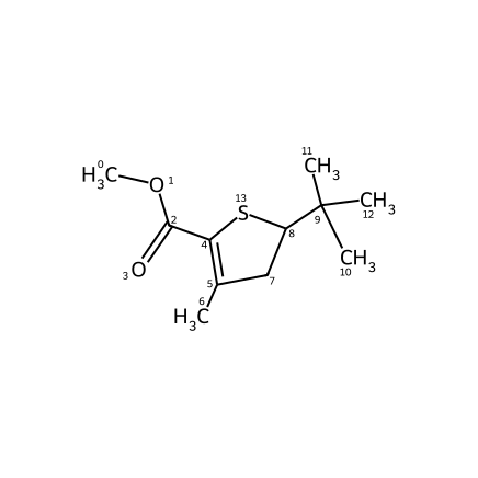 COC(=O)C1=C(C)CC(C(C)(C)C)S1